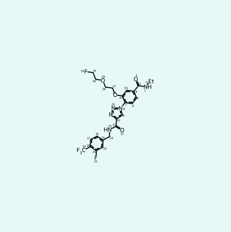 CCNC(=O)c1ccc(-n2cc(C(=O)NCc3ccc(C(F)(F)F)c(F)c3)nn2)c(OCCOCCF)c1